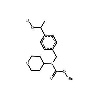 CCOC(C)c1ccc(CN(C(=O)OC(C)(C)C)C2CCOCC2)cc1